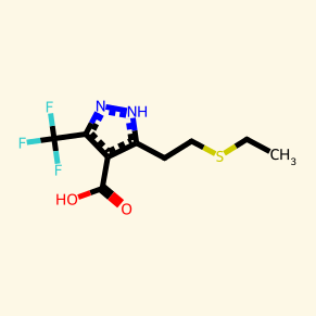 CCSCCc1[nH]nc(C(F)(F)F)c1C(=O)O